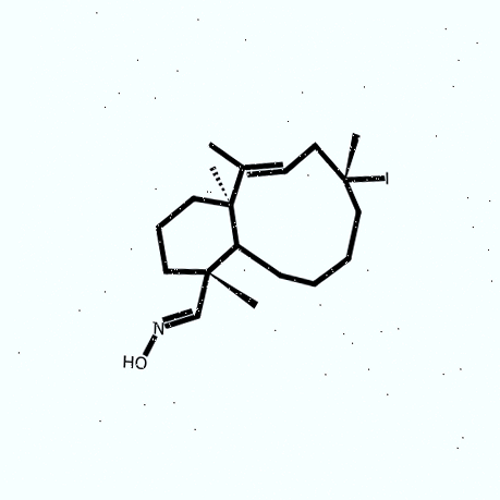 C/C1=C\C[C@](C)(I)CCCCC2[C@@]1(C)CCC[C@@]2(C)/C=N/O